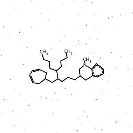 CCCCC(CCCC)C(CCCC1Cc2ccccc2N(C)C1)CC1CC=CC=CC1